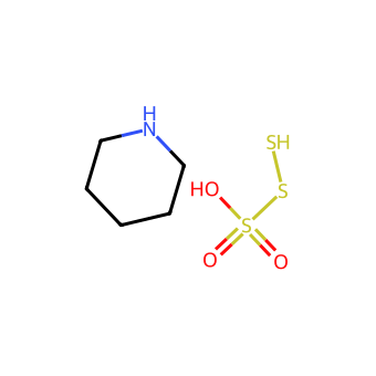 C1CCNCC1.O=S(=O)(O)SS